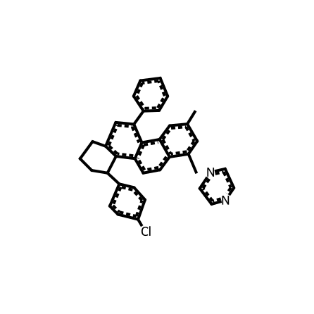 Cc1cc(C)c2ccc3c4c(cc(-c5ccccc5)c3c2c1)CCCC4c1ccc(Cl)cc1.c1cnccn1